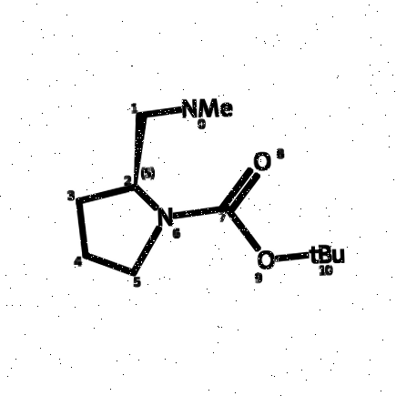 CNC[C@@H]1CCCN1C(=O)OC(C)(C)C